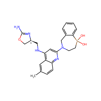 Cc1ccc2nc(N3CCS(O)(O)c4ccccc4C3)cc(NC[C@H]3COC(N)=N3)c2c1